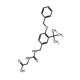 CC(C)(C)c1cc(CNC(=S)NCC(=O)O)ccc1OCc1ccccc1